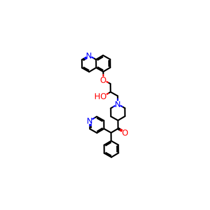 O=C(C1CCN(CC(O)COc2cccc3ncccc23)CC1)C(c1ccccc1)c1ccncc1